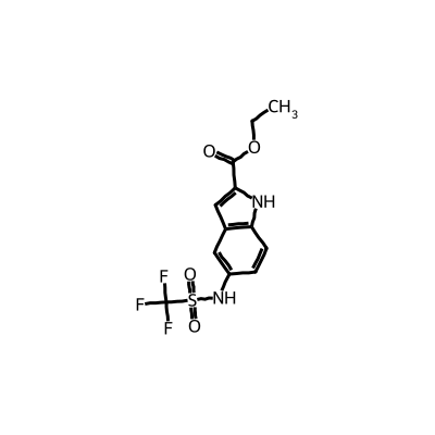 CCOC(=O)c1cc2cc(NS(=O)(=O)C(F)(F)F)ccc2[nH]1